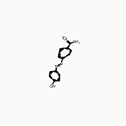 NC(=O)c1ccc(/N=N/c2ccc(O)cc2)cc1